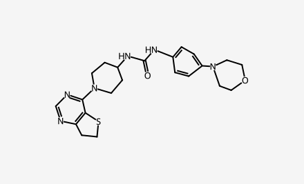 O=C(Nc1ccc(N2CCOCC2)cc1)NC1CCN(c2ncnc3c2SCC3)CC1